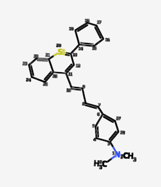 CN(C)c1ccc(/C=C/C=C/c2cc(-c3ccccc3)[s+]c3ccccc23)cc1